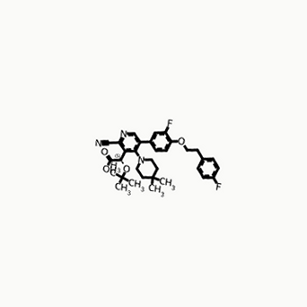 CC1(C)CCN(c2c(-c3ccc(OCCc4ccc(F)cc4)c(F)c3)cnc(C#N)c2[C@H](OC(C)(C)C)C(=O)O)CC1